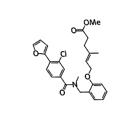 COC(=O)CC/C(C)=C/COc1ccccc1CN(C)C(=O)c1ccc(-c2ccco2)c(Cl)c1